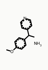 COc1ccc(C(C)c2ccncc2)cc1.N